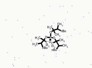 CCCCC(C)C(C)(C)OP(=O)(OC(C)(C)C(C)CCCC)OC(C)(C)C(C)CCCC